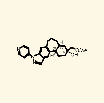 CC[C@]12CC[C@@](O)(COC)C[C@H]1CCCc1cc3c(cnn3-c3ccncc3)cc12